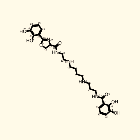 O=C(NCCCNCCCCNCCNC(=O)C1COC(c2cccc(O)c2O)=N1)c1cccc(O)c1O